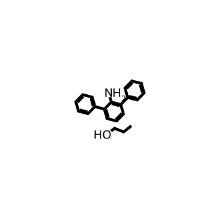 CCCO.Nc1c(-c2ccccc2)cccc1-c1ccccc1